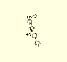 Cc1ccc(-c2ccc(-c3ccc(N4CC[C@H](NC5CCC5)C4)nn3)c(O)c2)cn1